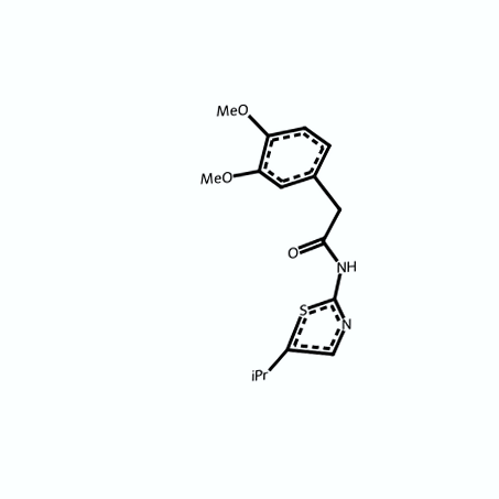 COc1ccc(CC(=O)Nc2ncc(C(C)C)s2)cc1OC